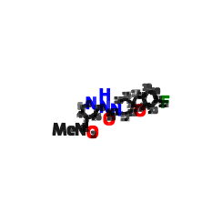 CNC(=O)c1ccnc(NC(=O)N2CCC3(CC2)Cc2ccc(F)cc2O3)c1